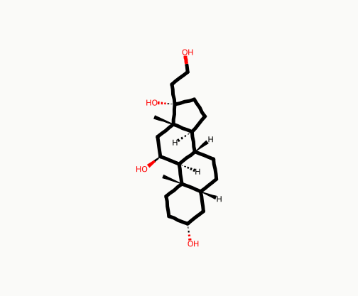 C[C@]12CC[C@@H](O)C[C@H]1CC[C@@H]1[C@@H]2[C@@H](O)C[C@@]2(C)[C@H]1CC[C@]2(O)CCO